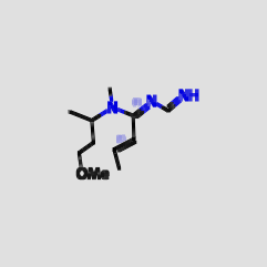 C/C=C/C(=N\C=N)N(C)C(C)CCOC